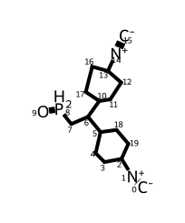 [C-]#[N+]C1CCC(C(C[PH2]=O)C2CCC([N+]#[C-])CC2)CC1